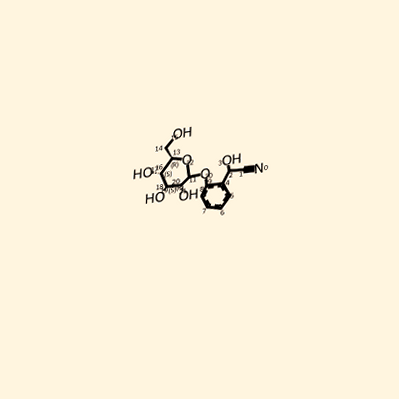 N#CC(O)c1ccccc1OC1O[C@H](CO)[C@@H](O)[C@H](O)[C@H]1O